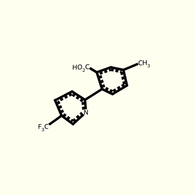 Cc1ccc(-c2ccc(C(F)(F)F)cn2)c(C(=O)O)c1